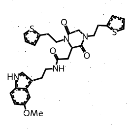 COc1ccc2[nH]cc(CCNC(=O)CC3C(=O)N(CCc4cccs4)CC(=O)N3CCc3cccs3)c2c1